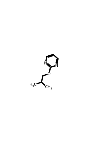 CC(C)COc1ncccn1